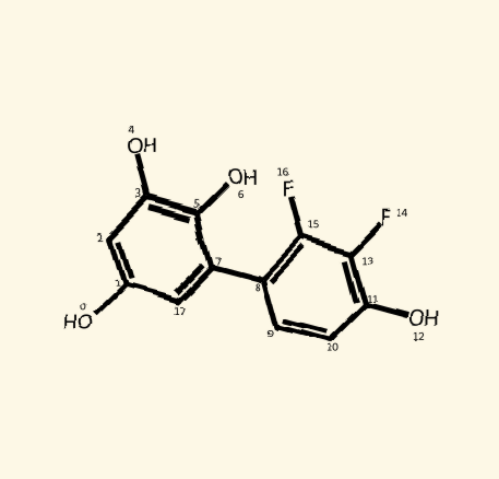 Oc1cc(O)c(O)c(-c2ccc(O)c(F)c2F)c1